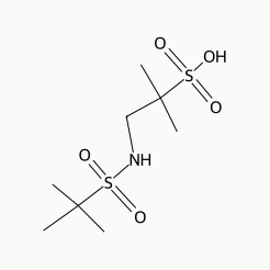 CC(C)(CNS(=O)(=O)C(C)(C)C)S(=O)(=O)O